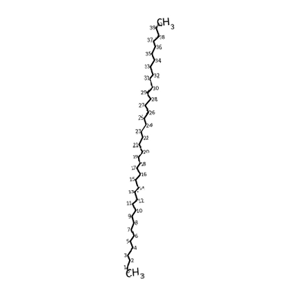 CCCCCCCCCCCCC[CH]CCCCCCCCCCCCCCCCCCCCCCCCCCC